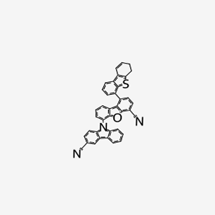 N#Cc1ccc2c(c1)c1ccccc1n2-c1cccc2c1oc1c(C#N)ccc(-c3cccc4c5c(sc34)CCC=C5)c12